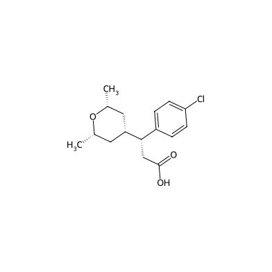 C[C@@H]1C[C@H]([C@@H](CC(=O)O)c2ccc(Cl)cc2)C[C@H](C)O1